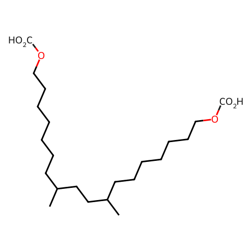 CC(CCCCCCCOC(=O)O)CCC(C)CCCCCCCOC(=O)O